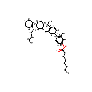 CCCCCCCC(=O)Oc1ccc(-c2ccc(C(C)[C@H]3CC[C@H](C4(CCCCC)CCCCC4)CC3)c(C)c2)c(C)c1